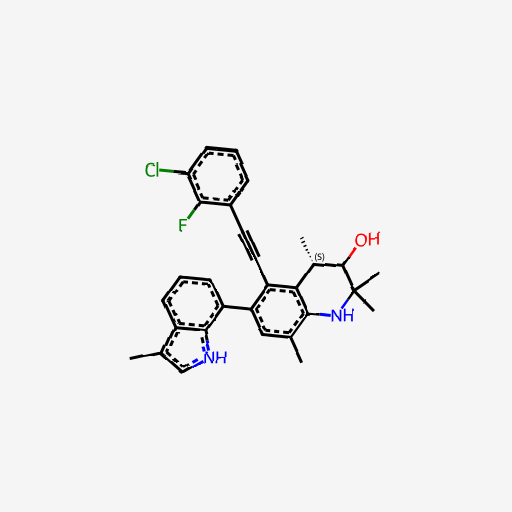 Cc1cc(-c2cccc3c(C)c[nH]c23)c(C#Cc2cccc(Cl)c2F)c2c1NC(C)(C)C(O)[C@H]2C